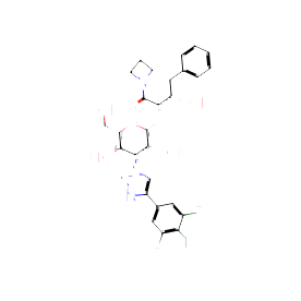 O=C([C@@H](S[C@@H]1O[C@H](CO)[C@H](O)[C@H](n2cc(-c3cc(F)c(F)c(F)c3)nn2)[C@H]1O)[C@@H](O)Cc1ccccc1)N1CCC1